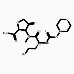 CC(C)CC[C@H](NC(=O)ON1CCOCC1)C(=O)N(C)C1C(=O)COC1C(N)=O